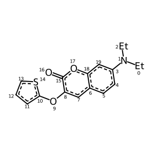 CCN(CC)c1ccc2cc(Oc3cccs3)c(=O)oc2c1